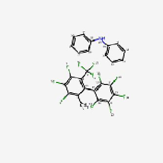 Cc1c(F)c(F)c(F)c(C(F)(F)F)c1-c1c(F)c(F)c(F)c(F)c1F.c1ccc(Nc2ccccc2)cc1